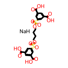 O=C(O)c1cc(C(=O)O)cc(S(=O)(=O)OCCCCOS(=O)(=O)c2cc(C(=O)O)cc(C(=O)O)c2)c1.[NaH]